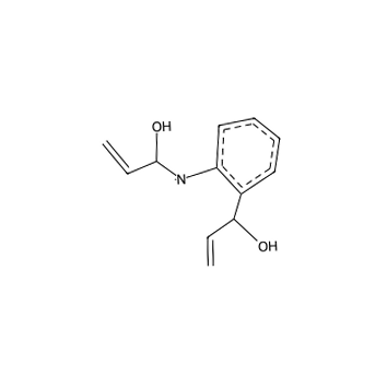 C=CC(O)[N]c1ccccc1C(O)C=C